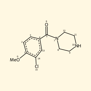 COc1ccc(C(=O)N2CCNCC2)cc1Cl